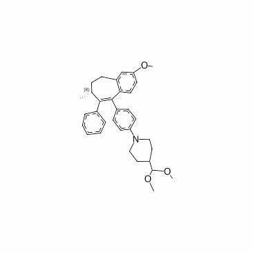 COc1ccc2c(c1)CC[C@@H](C)C(c1ccccc1)=C2c1ccc(N2CCC(C(OC)OC)CC2)cc1